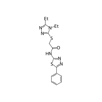 CCc1nnc(SCC(=O)Nc2nnc(-c3ccccc3)s2)n1CC